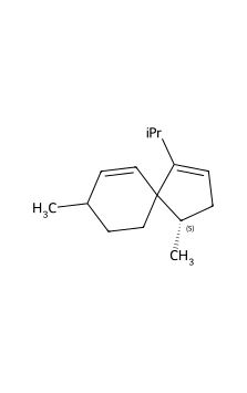 CC1C=CC2(CC1)C(C(C)C)=CC[C@@H]2C